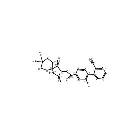 N#Cc1ncccc1-c1ccc(C(=O)CN2C(=O)NC3(CCC(F)(F)CC3)C2=O)cc1F